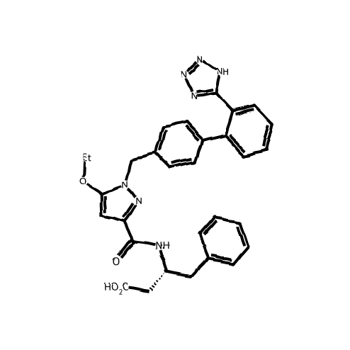 CCOc1cc(C(=O)N[C@@H](CC(=O)O)Cc2ccccc2)nn1Cc1ccc(-c2ccccc2-c2nnn[nH]2)cc1